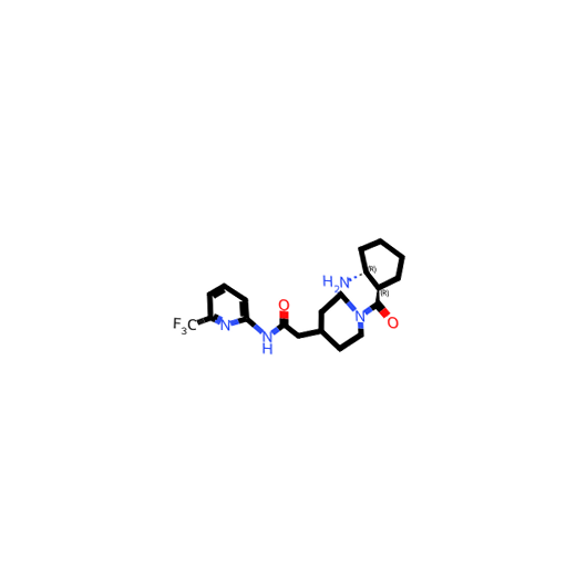 N[C@@H]1CCCC[C@H]1C(=O)N1CCC(CC(=O)Nc2cccc(C(F)(F)F)n2)CC1